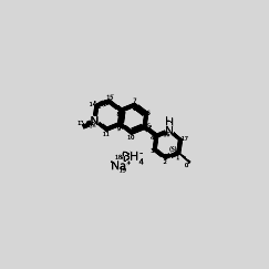 C[C@H]1CCC(c2ccc3c(c2)CN(C)CC3)NC1.[BH4-].[Na+]